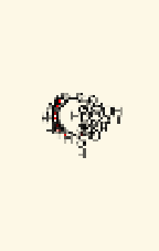 CO[C@H]1/C=C/O[C@@]2(C)Oc3c(C)c(O)c4c(O)c(c(/C=N/OCCO)c(O)c4c3C2=O)NC(=O)/C(C)=C\C=C\[C@H](C)[C@H](O)[C@@H](C)[C@@H](O)[C@@H](C)[C@H](OC(C)=O)[C@@H]1C